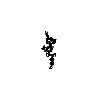 CC(C)Nc1cc(-c2ccc3cc(C#N)cnn23)ncc1C(=O)NC1CC2(CC(=O)C2)C1